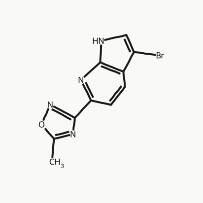 Cc1nc(-c2ccc3c(Br)c[nH]c3n2)no1